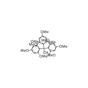 COc1cc(OC)c(C(C)(c2c(OC)cc(OC)cc2OC)c2c(OC)cc(OC)cc2OC)c(OC)c1